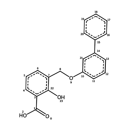 O=C(O)c1cccc(COc2cccc(-c3ccccc3)c2)c1O